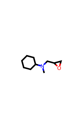 CN(CC1CO1)C1CCCCC1